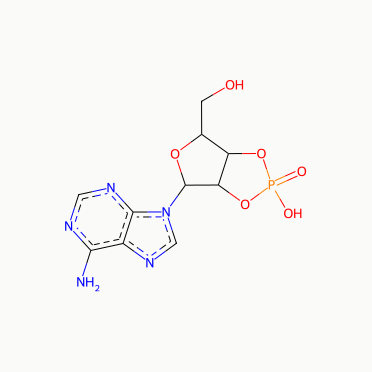 Nc1ncnc2c1ncn2C1OC(CO)C2OP(=O)(O)OC21